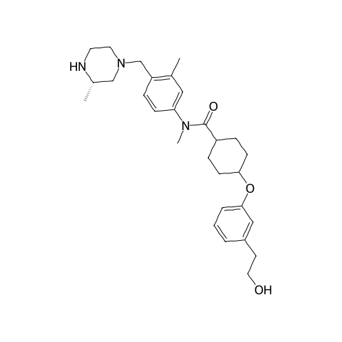 Cc1cc(N(C)C(=O)C2CCC(Oc3cccc(CCO)c3)CC2)ccc1CN1CCN[C@@H](C)C1